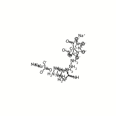 N=C(N)N.NN.NN.NN.NN.O=[N+]([O-])[Co-3]([N+](=O)[O-])([N+](=O)[O-])([N+](=O)[O-])([N+](=O)[O-])[N+](=O)[O-].O=[N+]([O-])[O-].[Na+].[Na+].[Na+].[Na+]